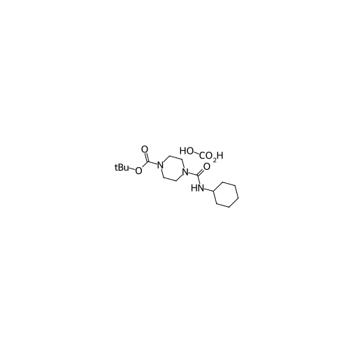 CC(C)(C)OC(=O)N1CCN(C(=O)NC2CCCCC2)CC1.O=C(O)O